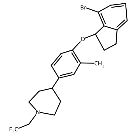 Cc1cc(C2CCN(CC(F)(F)F)CC2)ccc1OC1CCc2cccc(Br)c21